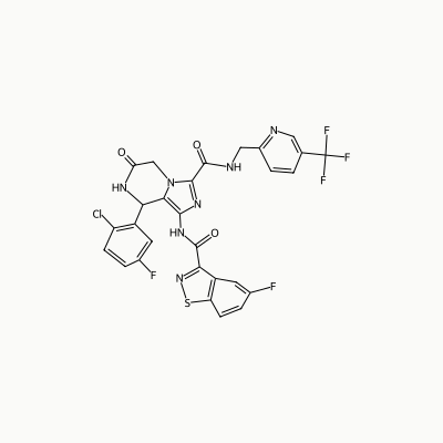 O=C1Cn2c(C(=O)NCc3ccc(C(F)(F)F)cn3)nc(NC(=O)c3nsc4ccc(F)cc34)c2C(c2cc(F)ccc2Cl)N1